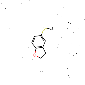 CCSc1ccc2c(c1)CCO2